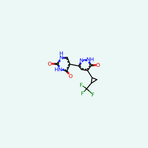 O=c1[nH]cc(-c2cc(C3CC3C(F)(F)F)c(=O)[nH]n2)c(=O)[nH]1